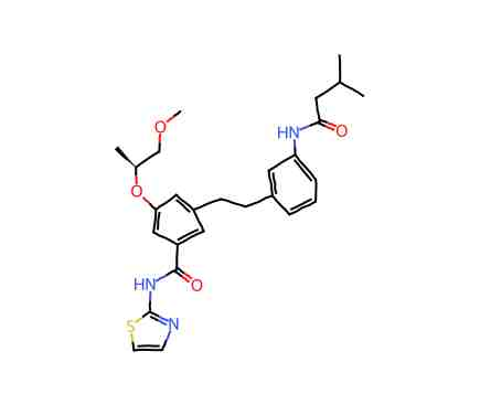 COC[C@H](C)Oc1cc(CCc2cccc(NC(=O)CC(C)C)c2)cc(C(=O)Nc2nccs2)c1